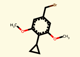 COc1cc(CBr)cc(OC)c1C1CC1